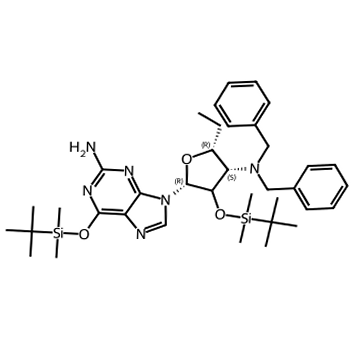 CC[C@H]1O[C@@H](n2cnc3c(O[Si](C)(C)C(C)(C)C)nc(N)nc32)C(O[Si](C)(C)C(C)(C)C)[C@H]1N(Cc1ccccc1)Cc1ccccc1